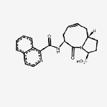 O=C(N[C@H]1CC=CC[C@@H]2CC[C@@H](C(=O)O)N2C1=O)c1nccc2ccccc12